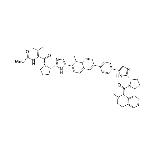 COC(=O)NC(C(=O)N1CCC[C@H]1c1ncc(C2=CC=C3C=C(c4ccc(-c5cnc([C@@H]6CCCN6C(=O)[C@H]6c7ccccc7CCN6C)[nH]5)cc4)C=CC3C2C)[nH]1)=C(C)C